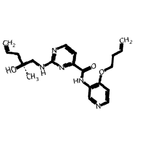 C=CCCOc1ccncc1NC(=O)c1ccnc(NC[C@@](C)(O)CC=C)n1